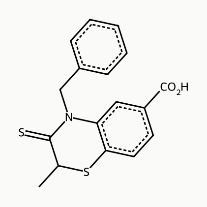 CC1Sc2ccc(C(=O)O)cc2N(Cc2ccccc2)C1=S